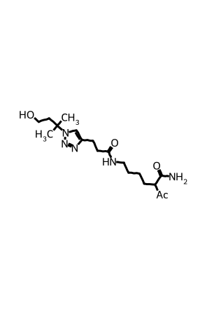 CC(=O)C(CCCCNC(=O)CCc1cn(C(C)(C)CCO)nn1)C(N)=O